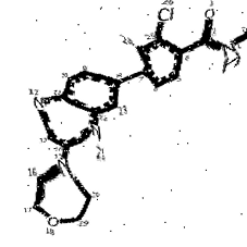 CNC(=O)c1ccc(-c2ccc3ncc(N4CCOCC4)nc3c2)cc1Cl